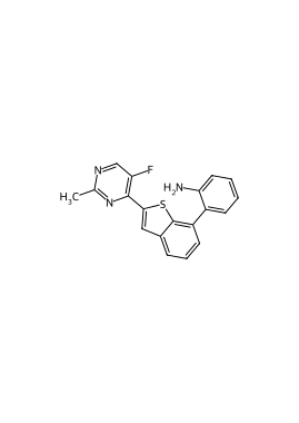 Cc1ncc(F)c(-c2cc3cccc(-c4ccccc4N)c3s2)n1